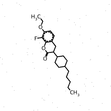 CCCCCC1CCC(C2Cc3ccc(OCC)c(F)c3OC2=O)CC1